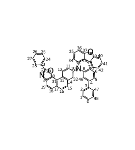 c1ccc(-c2cccc(N(c3ccc4c(ccc5ccc6nc(-c7ccccc7)oc6c54)c3)c3cccc4oc5ccccc5c34)c2)cc1